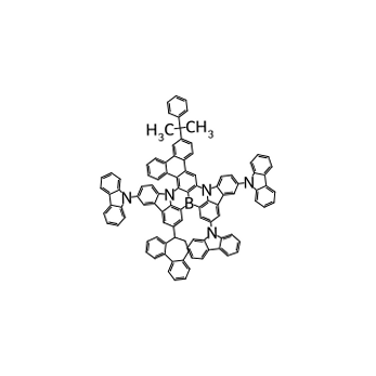 CC(C)(c1ccccc1)c1ccc2c(c1)c1ccccc1c1c3c4c(cc21)-n1c2ccc(-n5c6ccccc6c6ccccc65)cc2c2cc(-n5c6ccccc6c6ccccc65)cc(c21)B4c1cc(C2CCc4ccccc4-c4ccccc42)cc2c4cc(-n5c6ccccc6c6ccccc65)ccc4n-3c12